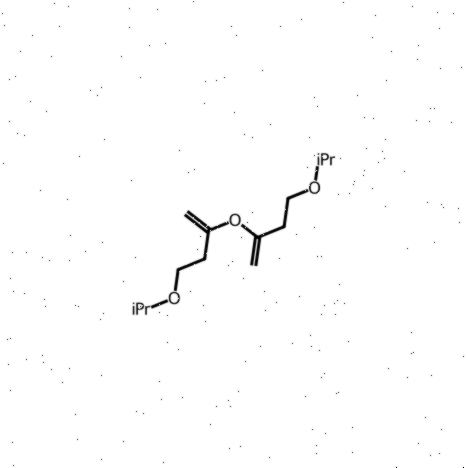 C=C(CCOC(C)C)OC(=C)CCOC(C)C